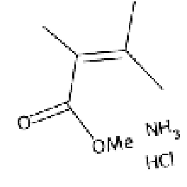 COC(=O)C(C)=C(C)C.Cl.N